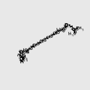 COc1ccc(CCCc2cccc(OCC(=O)NCCOCCOCCOCCOCCOCCOCCOCCOCCOCCNC(=O)COc3cccc4c3C(=O)N(C3CCC(=O)NC3=O)C4=O)c2)cc1OC